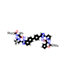 COC(=O)N[C@H](C(=O)N1C[Si](C)(C)C[C@H]1c1nc2ccc3cc(-c4ccc(-c5cnc([C@@H]6CCCN6C(=O)[C@@H](NC(=O)OC)C6CCCC6)[nH]5)cc4)ccc3c2[nH]1)C(C)C